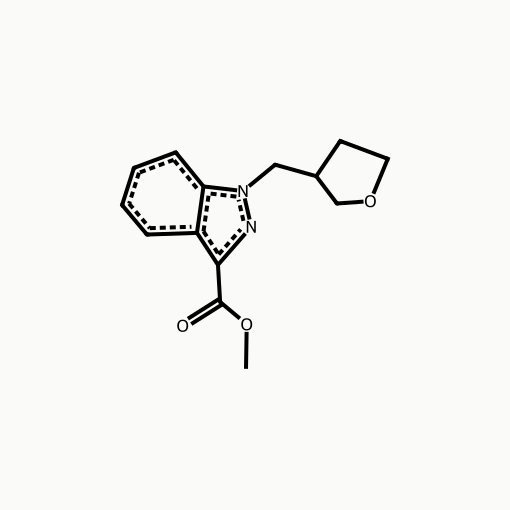 COC(=O)c1nn(CC2CCOC2)c2ccccc12